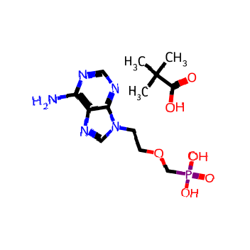 CC(C)(C)C(=O)O.Nc1ncnc2c1ncn2CCOCP(=O)(O)O